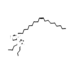 CCCCCCCC/C=C\CCCCCCCC[N+]1(OP(=O)(OCCCC)OCCCC)C=NCC1